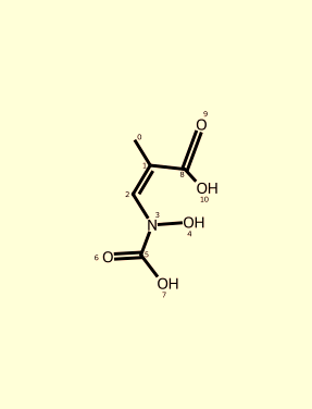 CC(=CN(O)C(=O)O)C(=O)O